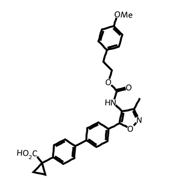 COc1ccc(CCOC(=O)Nc2c(C)noc2-c2ccc(-c3ccc(C4(C(=O)O)CC4)cc3)cc2)cc1